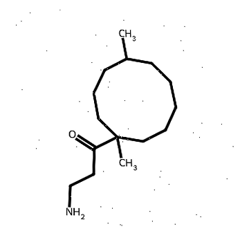 CC1CCCCCC(C)(C(=O)CCN)CCC1